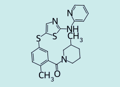 Cc1ccc(Sc2cnc(Nc3ccccn3)s2)cc1C(=O)N1CCCC(C)C1